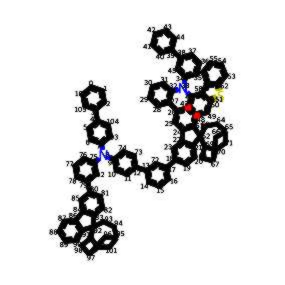 c1ccc(-c2ccc(N(c3ccc(-c4cccc(-c5ccc6c(c5)-c5cc(-c7ccccc7N(c7cccc(-c8ccccc8)c7)c7cccc8sc9ccccc9c78)ccc5C65CCC6CC7CC5C7C6)c4)cc3)c3cccc(-c4ccc5c(c4)-c4ccccc4C54CCC5CC6CC4C6C5)c3)cc2)cc1